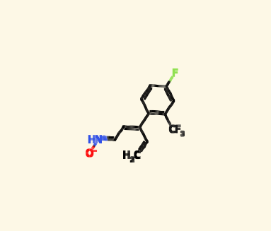 C=C/C(=C\C=[NH+]\[O-])c1ccc(F)cc1C(F)(F)F